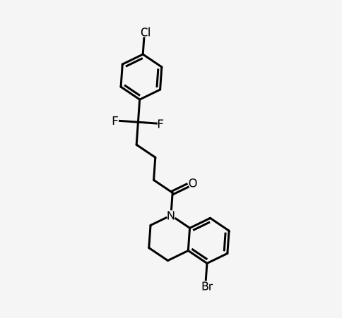 O=C(CCCC(F)(F)c1ccc(Cl)cc1)N1CCCc2c(Br)cccc21